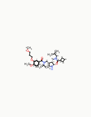 COCCCOc1cc(C(=O)N(C[C@@H]2CNC[C@H]2CN(CC(C)C)C(=O)C2CCC2)C(C)C)ccc1OC